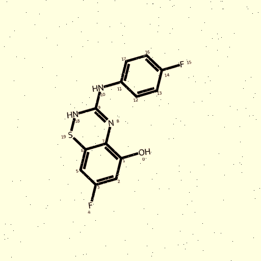 Oc1cc(F)cc2c1N=C(Nc1ccc(F)cc1)NS2